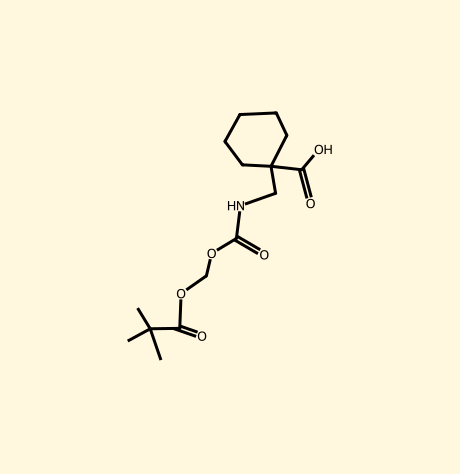 CC(C)(C)C(=O)OCOC(=O)NCC1(C(=O)O)CCCCC1